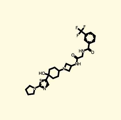 O=C(CNC(=O)c1cccc(C(F)(F)F)c1)NC1CN(C2CCC(O)(c3cnc(N4CCCC4)s3)CC2)C1